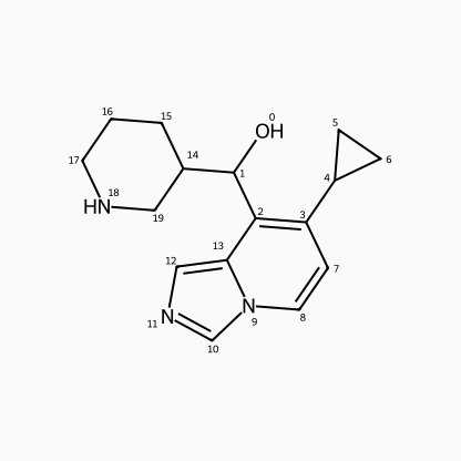 OC(c1c(C2CC2)ccn2cncc12)C1CCCNC1